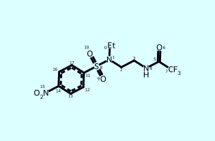 CCN(CCNC(=O)C(F)(F)F)S(=O)(=O)c1ccc([N+](=O)[O-])cc1